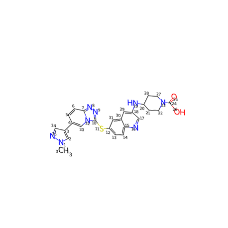 Cn1cc(-c2ccc3nnc(Sc4ccc5ncc(NC6CCN(C(=O)O)CC6)cc5c4)n3c2)cn1